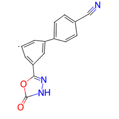 N#Cc1ccc(-c2c[c]cc(-c3n[nH]c(=O)o3)c2)cc1